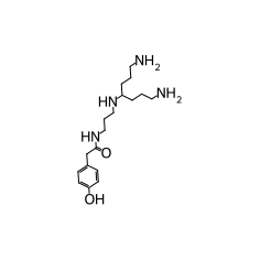 NCCCC(CCCN)NCCCNC(=O)Cc1ccc(O)cc1